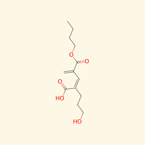 C=C(C=C(CCCO)C(=O)O)C(=O)OCCCC